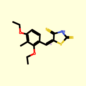 CCOc1ccc(/C=C2/SC(=S)NC2=S)c(OCC)c1C